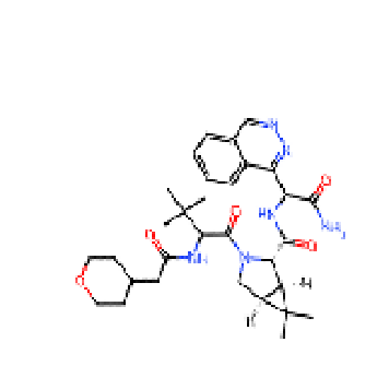 CC(C)(C)C(NC(=O)CC1CCOCC1)C(=O)N1C[C@H]2[C@@H]([C@H]1C(=O)NC(C(N)=O)c1nncc3ccccc13)C2(C)C